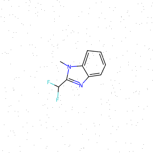 Cn1c(C(F)F)nc2ccccc21